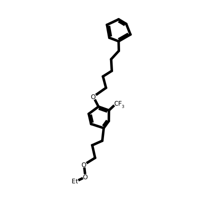 CCOOCCCc1ccc(OCCCCCc2ccccc2)c(C(F)(F)F)c1